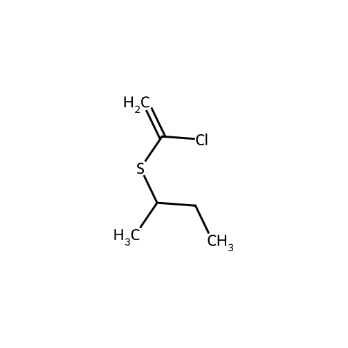 C=C(Cl)SC(C)CC